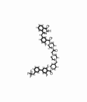 O=C(CN1CCN(CC2CCN(C(=O)c3c(F)cc(-c4cccc(CC(F)(F)F)c4)cc3F)CC2)CC1)N1CCN(C(=O)c2cc(Cc3n[nH]c(=O)c4ccccc34)ccc2F)CC1